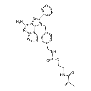 C=C(C)C(=O)NCCOC(=O)NCc1ccc(Cn2c(-c3cnccn3)nc3c(N)nc4ccccc4c32)cc1